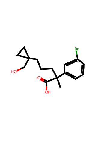 CC(CCCC1(CO)CC1)(C(=O)O)c1cccc(Br)c1